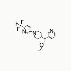 CCOCC(c1cccnc1)C1CCN(c2ccc(C(F)(F)F)nc2)CC1